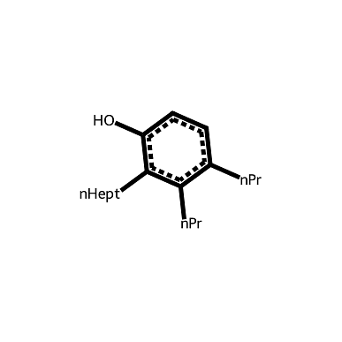 CCCCCCCc1c(O)ccc(CCC)c1CCC